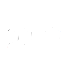 CN(C)CCC(N)c1ccc2c(c1)C(=O)OC2=O